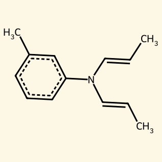 CC=CN(C=CC)c1cccc(C)c1